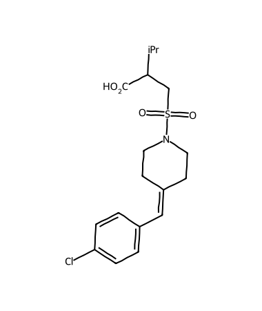 CC(C)C(CS(=O)(=O)N1CCC(=Cc2ccc(Cl)cc2)CC1)C(=O)O